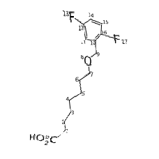 O=C(O)CCCCCCCOCc1cc(F)ccc1F